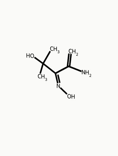 C=C(N)/C(=N\O)C(C)(C)O